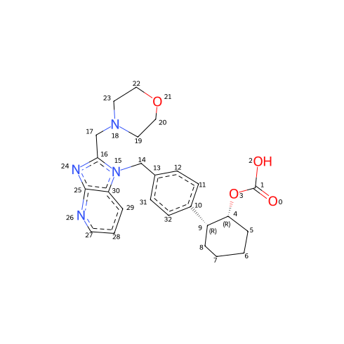 O=C(O)O[C@@H]1CCCC[C@@H]1c1ccc(Cn2c(CN3CCOCC3)nc3ncccc32)cc1